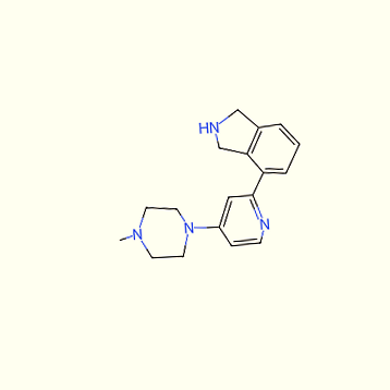 CN1CCN(c2ccnc(-c3cccc4c3CNC4)c2)CC1